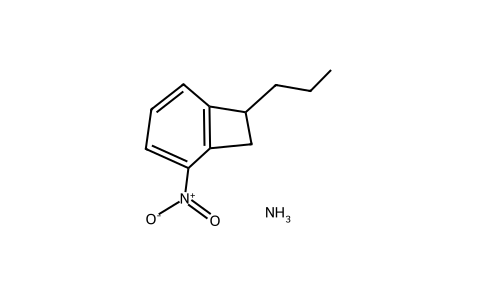 CCCC1Cc2c1cccc2[N+](=O)[O-].N